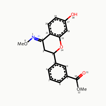 CO/N=C1\CC(c2cccc(C(=O)OC)c2)Oc2cc(O)ccc21